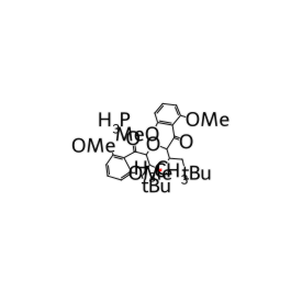 COc1cccc(OC)c1C(=O)C(OC(C(=O)c1c(OC)cccc1OC)C(C)CC(C)(C)C)C(C)CC(C)(C)C.P